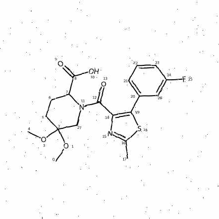 COC1(OC)CCC(C(=O)O)N(C(=O)c2nc(C)sc2-c2cccc(F)c2)C1